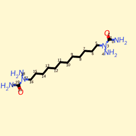 NC(=O)N(N)CCCCCCCCCCCCN(N)C(N)=O